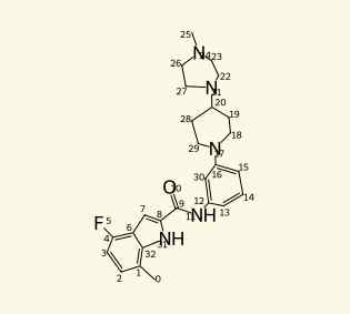 Cc1ccc(F)c2cc(C(=O)Nc3cccc(N4CCC(N5CCN(C)CC5)CC4)c3)[nH]c12